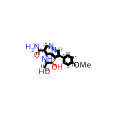 COc1ccc(-c2cc3c(NC(CO)CO)c(C(N)=O)cnn3c2)cc1